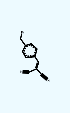 N#CC(C#N)=Cc1ccc(CBr)cc1